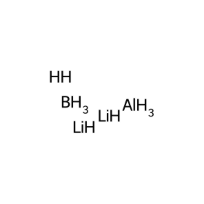 B.[AlH3].[HH].[LiH].[LiH]